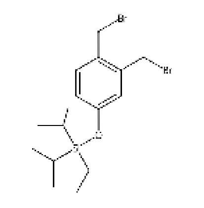 CC(C)[Si](Oc1ccc(CBr)c(CBr)c1)(C(C)C)C(C)C